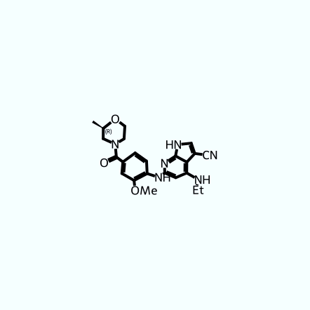 CCNc1cc(Nc2ccc(C(=O)N3CCO[C@H](C)C3)cc2OC)nc2[nH]cc(C#N)c12